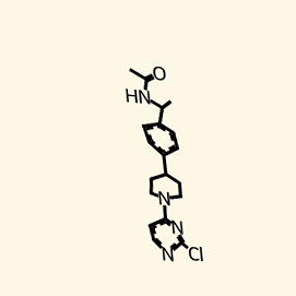 CC(=O)NC(C)c1ccc(C2CCN(c3ccnc(Cl)n3)CC2)cc1